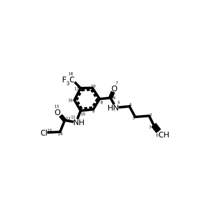 C#CCCCNC(=O)c1cc(NC(=O)CCl)cc(C(F)(F)F)c1